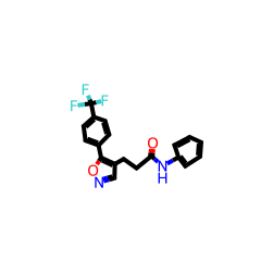 O=C(CCc1cnoc1-c1ccc(C(F)(F)F)cc1)Nc1ccccc1